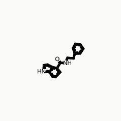 O=C(NCCc1ccccc1)c1cccc2[nH]ccc12